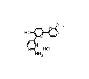 Cl.Nc1nccc(-c2ccc(O)c(-c3ccnc(N)n3)n2)n1